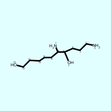 NCCCC(O)C(N)CCCCCO